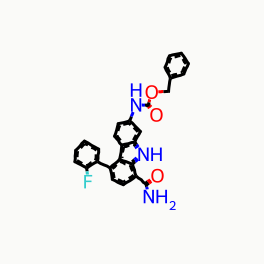 NC(=O)c1ccc(-c2ccccc2F)c2c1[nH]c1cc(NC(=O)OCc3ccccc3)ccc12